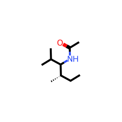 CC[C@H](C)C(NC(C)=O)C(C)C